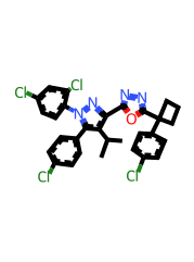 CC(C)c1c(-c2nnc(C3(c4ccc(Cl)cc4)CCC3)o2)nn(-c2ccc(Cl)cc2Cl)c1-c1ccc(Cl)cc1